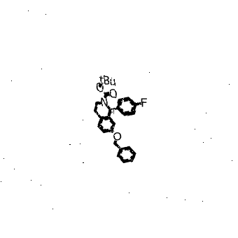 CC(C)(C)OC(=O)N1CCc2ccc(OCc3ccccc3)cc2[C@@H]1c1ccc(F)cc1